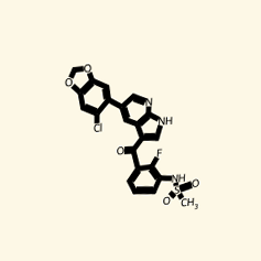 CS(=O)(=O)Nc1cccc(C(=O)c2c[nH]c3ncc(-c4cc5c(cc4Cl)OCO5)cc23)c1F